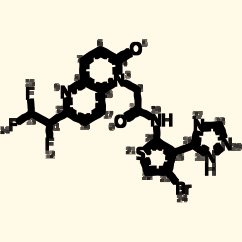 O=C(Cn1c(=O)ccc2nc(C(F)C(F)F)ccc21)Nc1scc(Br)c1-c1ncn[nH]1